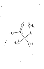 CCC(C)(O)[N+](=O)[O-]